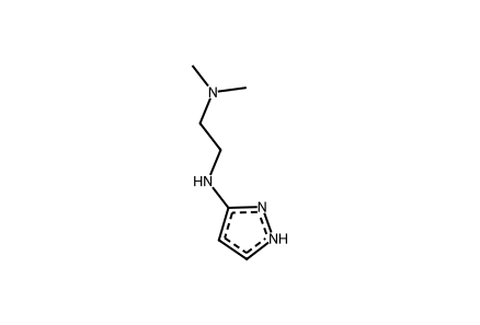 CN(C)CCNc1cc[nH]n1